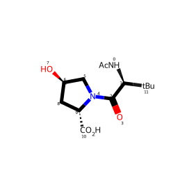 CC(=O)N[C@H](C(=O)N1C[C@H](O)C[C@H]1C(=O)O)C(C)(C)C